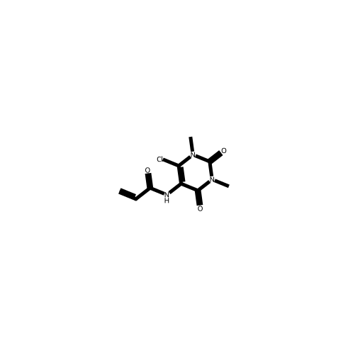 C=CC(=O)Nc1c(Cl)n(C)c(=O)n(C)c1=O